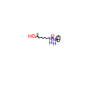 O=C(NCCCCC/C=C(\F)CO)NC12CC3CC(CC(C3)C1)C2